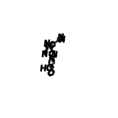 Cn1cc(-c2cc(-c3ccc(N4CCC(O)(Cc5ccccc5)CC4)nc3)n3c(C#N)cnc3c2)cn1